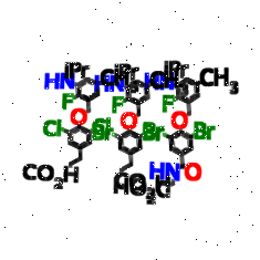 Cc1cc(COc2c(Br)cc(C(=O)NCC(=O)O)cc2Br)c(F)c(NC(C)C)c1.Cc1cc(COc2c(Br)cc(CCC(=O)O)cc2Br)c(F)c(NC(C)C)c1.Cc1cc(COc2c(Cl)cc(CCC(=O)O)cc2Cl)c(F)c(NC(C)C)c1